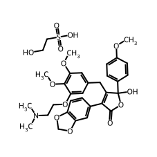 COc1ccc(C2(O)OC(=O)C(c3ccc4c(c3)OCO4)=C2Cc2cc(OC)c(OC)c(OCCN(C)C)c2)cc1.O=S(=O)(O)CCO